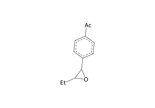 CCC1OC1c1ccc(C(C)=O)cc1